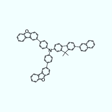 CC1(C)c2cc(-c3ccc4ccccc4c3)ccc2-c2ccc(N(c3ccc(-c4ccc5oc6ccccc6c5c4)cc3)c3ccc(-c4ccc5oc6ccccc6c5c4)cc3)cc21